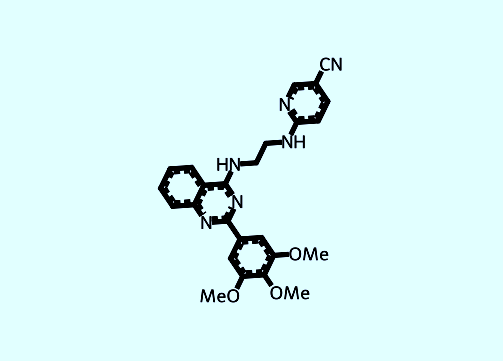 COc1cc(-c2nc(NCCNc3ccc(C#N)cn3)c3ccccc3n2)cc(OC)c1OC